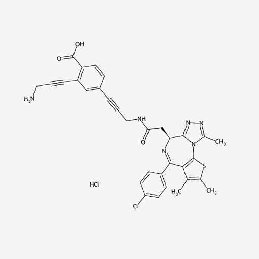 Cc1sc2c(c1C)C(c1ccc(Cl)cc1)=N[C@@H](CC(=O)NCC#Cc1ccc(C(=O)O)c(C#CCN)c1)c1nnc(C)n1-2.Cl